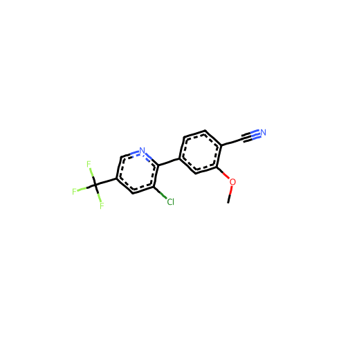 COc1cc(-c2ncc(C(F)(F)F)cc2Cl)ccc1C#N